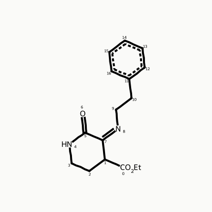 CCOC(=O)C1CCNC(=O)/C1=N\CCc1ccccc1